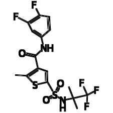 Cc1sc(S(=O)(=O)NC(C)(C)C(F)(F)F)cc1C(=O)Nc1ccc(F)c(F)c1